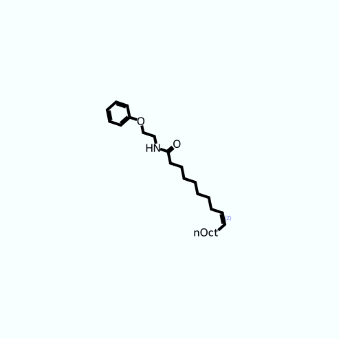 CCCCCCCC/C=C\CCCCCCCC(=O)NCCOc1ccccc1